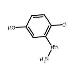 NNc1cc(O)ccc1Cl